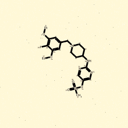 CCOc1cc(CN2CCC(Nc3ncc(OS(C)(=O)=O)cn3)CC2)cc(OCC)c1F